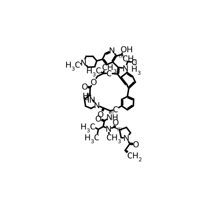 C=CC(=O)N1CC[C@H](C(=O)N(C)C(C(=O)N[C@H]2Cc3cccc(c3)-c3ccc4c(c3)c(c(-c3cc(C5CCN(C)CC5)cnc3[C@H](C)O)n4CC)CC(C)(C)COC(=O)[C@@H]3CCCN(N3)C2=O)C(C)C)C1